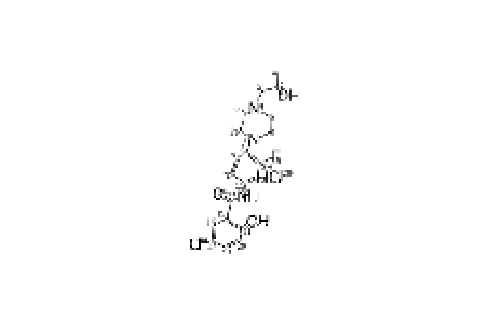 CC(O)CN1CCN(c2ccc(NC(=O)c3cc(Cl)ccc3O)cc2F)CC1.Cl